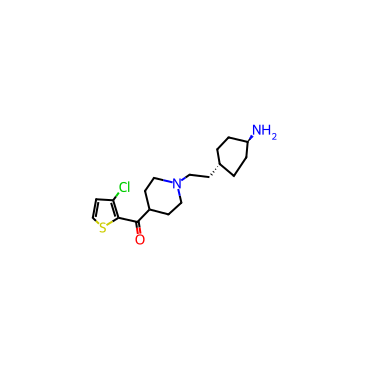 N[C@H]1CC[C@H](CCN2CCC(C(=O)c3sccc3Cl)CC2)CC1